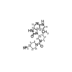 C[C@@H]1CCN(C(=O)N2CCC(C#N)CC2)C[C@@H]1n1c(=O)[nH]c2cnc3[nH]ccc3c21